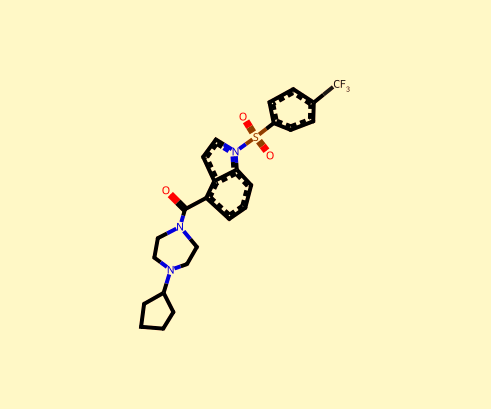 O=C(c1cccc2c1ccn2S(=O)(=O)c1ccc(C(F)(F)F)cc1)N1CCN(C2CCCC2)CC1